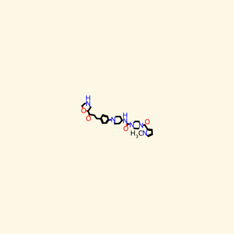 Cn1cccc1C(=O)N1CCN(C(=O)NC2CCN(c3ccc(CCC(=O)C4CNCCO4)cc3)CC2)CC1